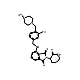 Cc1cc(CNc2cccc3c2C(=O)N(C2CCCNC2=O)C3=O)ccc1CN1CCN(C(C)C)CC1